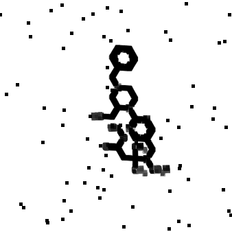 CC(C)(C)OC(=O)CC(C)(C)N(Cc1cnc(N2CCN(Cc3ccccc3)CC2CO)nc1)C(=O)O